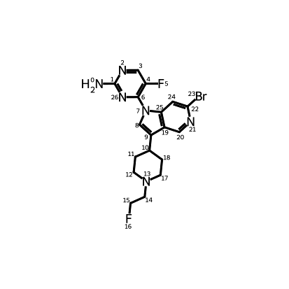 Nc1ncc(F)c(-n2cc(C3CCN(CCF)CC3)c3cnc(Br)cc32)n1